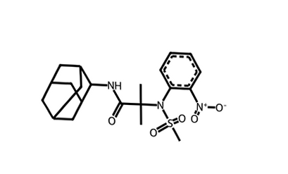 CC(C)(C(=O)NC1C2CC3CC(C2)CC1C3)N(c1ccccc1[N+](=O)[O-])S(C)(=O)=O